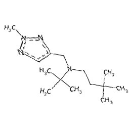 Cn1ncc(CN(CCC(C)(C)C)C(C)(C)C)n1